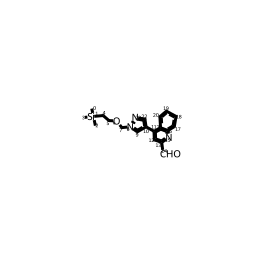 C[Si](C)(C)CCOCn1cc(-c2cc(C=O)nc3ccccc23)cn1